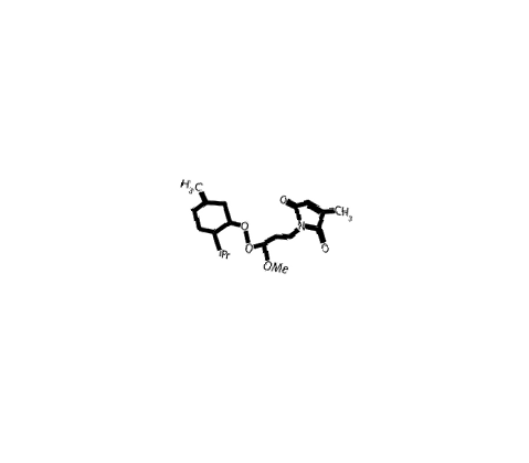 COC(CCN1C(=O)C=C(C)C1=O)OOC1CC(C)CCC1C(C)C